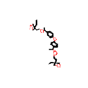 CCC1(CCOC(C)c2ccc(Oc3ccc(C(C)OCCC4(CC)COC4)cc3)cc2)COC1